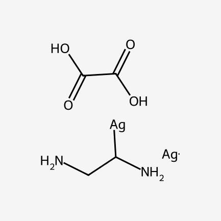 NC[CH](N)[Ag].O=C(O)C(=O)O.[Ag]